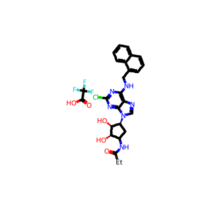 CCC(=O)NC1C[C@H](n2cnc3c(NCc4cccc5ccccc45)nc(Cl)nc32)[C@H](O)[C@@H]1O.O=C(O)C(F)(F)F